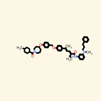 C=C/C(=C\C=C(/C)c1ccc(OCc2ccc(OC3CCCN(C(=O)C4CCC(C)CC4)CC3)cc2)cc1)C(=O)Nc1cccc(N(C)CCCc2ccccc2)c1